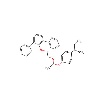 CCC(C)c1ccc(OC(C)OCCOc2c(-c3ccccc3)cccc2-c2ccccc2)cc1